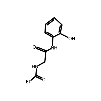 CCC(=O)NCC(=O)Nc1ccccc1O